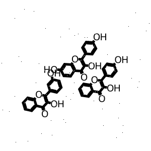 O=c1c(O)c(-c2ccc(O)cc2)oc2cc(O)ccc12.O=c1c(O)c(-c2ccc(O)cc2)oc2ccccc12.O=c1c(O)c(-c2cccc(O)c2)oc2ccccc12